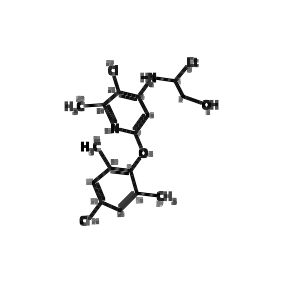 CCC(CO)Nc1cc(Oc2c(C)cc(Cl)cc2C)nc(C)c1Cl